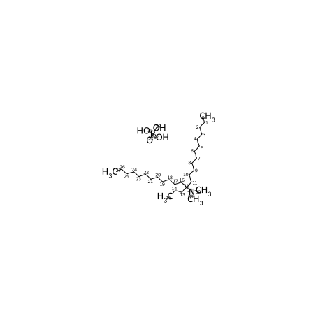 CCCCCCCCCCCCC(CCC)(CCCCCCCCCCCC)N(C)C.O=P(O)(O)O